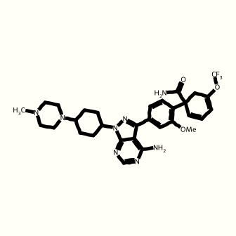 COc1cc(-c2nn(C3CCC(N4CCN(C)CC4)CC3)c3ncnc(N)c23)ccc1C1(C(N)=O)C=CC=C(OC(F)(F)F)C1